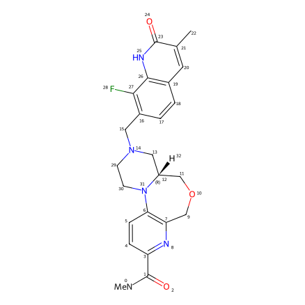 CNC(=O)c1ccc2c(n1)COC[C@H]1CN(Cc3ccc4cc(C)c(=O)[nH]c4c3F)CCN21